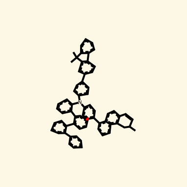 CC1C=Cc2ccc3c(-c4ccc(N(c5ccc(-c6ccc7c(c6)C(C)(C)c6ccccc6-7)cc5)c5ccccc5-c5ccccc5-c5ccccc5-c5ccccc5)cc4)cccc3c2C1